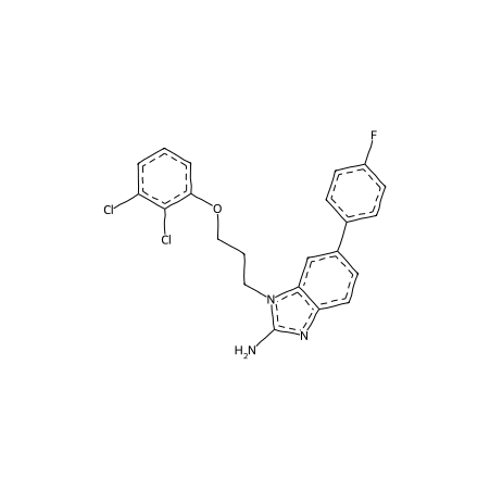 Nc1nc2ccc(-c3ccc(F)cc3)cc2n1CCCOc1cccc(Cl)c1Cl